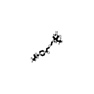 O=C(CCOCCn1nc(C(F)(F)F)c2c(=O)[nH]ncc21)N1CCN(c2nc(C(F)(F)F)co2)CC1